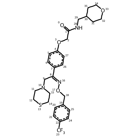 O=C(COc1ccc(C(CN2CCSCC2)=NOCc2ccc(C(F)(F)F)cc2)cc1)NCC1CCOCC1